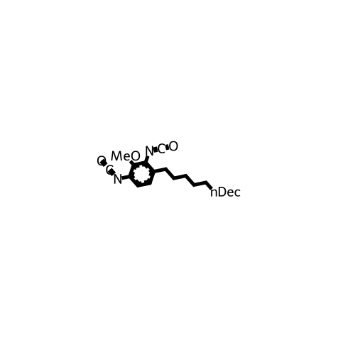 CCCCCCCCCCCCCCCc1ccc(N=C=O)c(OC)c1N=C=O